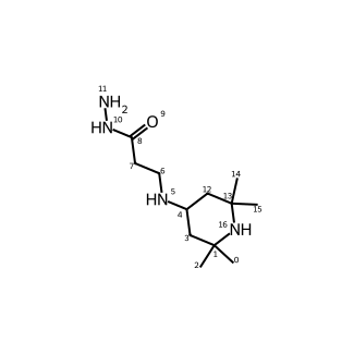 CC1(C)CC(NCCC(=O)NN)CC(C)(C)N1